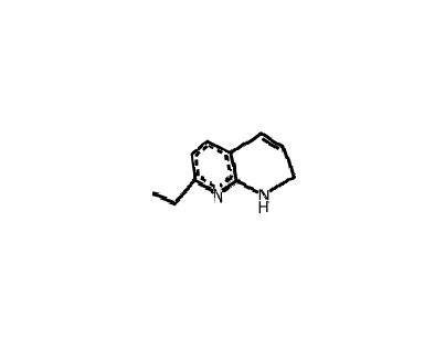 CCc1ccc2c(n1)NCC=C2